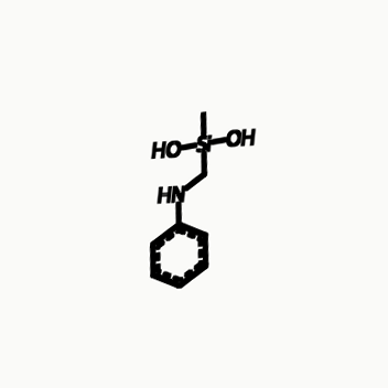 C[Si](O)(O)CNc1ccccc1